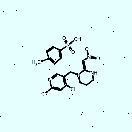 Cc1ccc(S(=O)(=O)O)cc1.O=[N+]([O-])C=C1NCCCN1Cc1cnc(Cl)cc1Cl